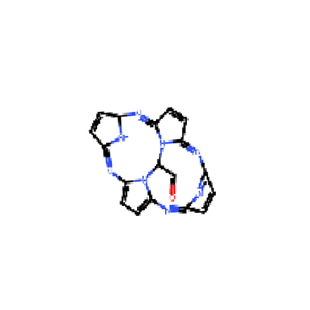 O=CC1n2c3ccc2/N=C2/C=CC(/N=c4/cc/c(n41)=N/C1=NC(=N\3)/C=C1)N2